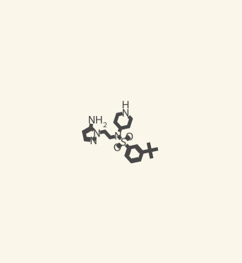 CC(C)(C)c1cccc(S(=O)(=O)N(CCn2nccc2N)C2CCNCC2)c1